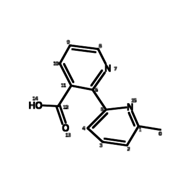 Cc1cccc(-c2ncccc2C(=O)O)n1